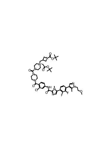 COCCn1ncc(-c2ccc(-c3cnc(C(=O)Nc4ccc(C(=O)N5CCN(C(=O)N6CC[N+](CC(=O)OC(C)(C)C)(CC7CN(C(=O)OC(C)(C)C)C7)CC6)CC5)c(Cl)c4)n3C)c(F)c2F)c1C